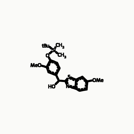 COc1ccc2nc(C(O)c3ccc(O[Si](C)(C)C(C)(C)C)c(OC)c3)sc2c1